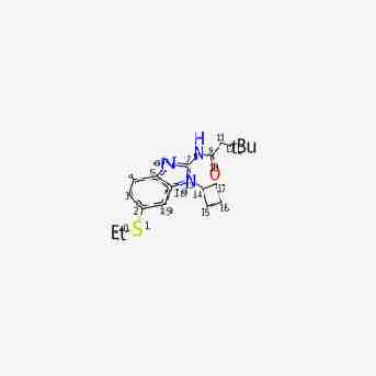 CCSc1ccc2nc(NC(=O)CC(C)(C)C)n(C3CCC3)c2c1